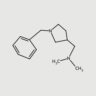 CN(C)CC1CCN(Cc2ccccc2)C1